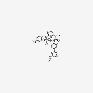 CCOc1cncc(-c2ccc(NC(=O)C(c3ccnc(N(Cc4ccc(OC)cc4)S(=O)(=O)C4CC4)n3)C(C)C)c(F)c2)n1